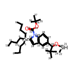 CCC[CH2][Sn]([CH2]CCC)([CH2]CCC)[c]1cc2cc(C(O[SiH](C)C)C(C)(C)C)ccc2n1C(=O)OC(C)(C)C